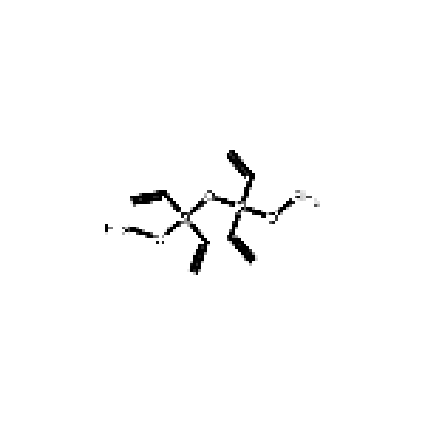 C=C[Si](C=C)(O[SiH3])O[Si](C=C)(C=C)O[SiH3]